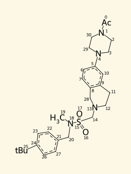 CC(=O)N1CCN(c2ccc3c(c2)CCN(CS(=O)(=O)N(C)Cc2ccc(C(C)(C)C)cc2)C3)CC1